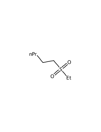 [CH2]CS(=O)(=O)CCCCC